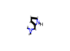 [2H]n1cccc1CN(C)C